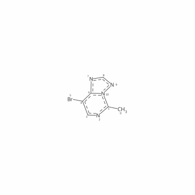 Cc1ncc(Br)c2ncnn12